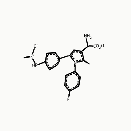 CCOC(=O)C(N)c1cc(-c2ccc(P[S+](C)[O-])cc2)n(-c2ccc(F)cc2)c1C